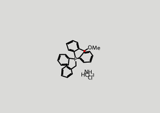 COCc1ccccc1[P+](Cc1ccccc1)(c1ccccc1)c1ccccc1.Cl.N.[Cl-]